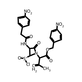 C=C(C)C(C(=O)OCc1ccc([N+](=O)[O-])cc1)N1C(=O)C(NC(=O)Cc2ccc([N+](=O)[O-])cc2)C1[S+]([O-])Cl